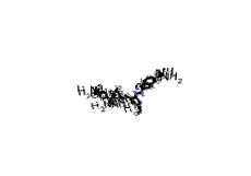 CCN1CC(/C=C/c2cc3cc(C(=N)N)ccc3o2)C(CNc2cc(C)nc(N(C(=N)N)c3ccc(S(N)(=O)=O)cc3)n2)C1